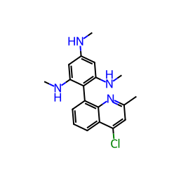 CNc1cc(NC)c(-c2cccc3c(Cl)cc(C)nc23)c(NC)c1